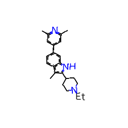 CCN1CCC(c2[nH]c3cc(-c4cc(C)nc(C)c4)ccc3c2C)CC1